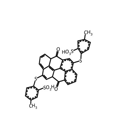 Cc1ccc(SC2=CC3C(=O)c4cccc5c(Sc6ccc(C)cc6S(=O)(=O)O)cc6c(c45)C3=C3C2=CC=CC3C6=O)c(S(=O)(=O)O)c1